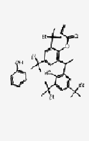 C=CC(=O)Oc1c(C(C)c2cc(C(C)(C)CC)cc(C(C)(C)CC)c2O)cc(C(C)(C)CC)cc1C(C)(C)CC.Oc1ccccc1